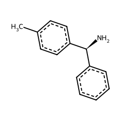 Cc1ccc([C@@H](N)c2ccccc2)cc1